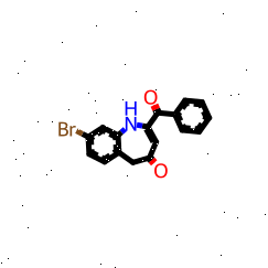 O=C1C=C(C(=O)c2ccccc2)Nc2cc(Br)ccc2C1